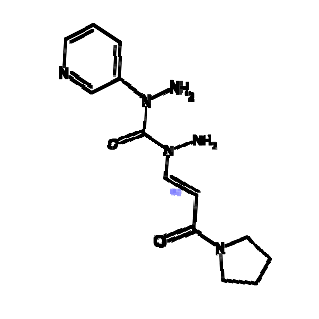 NN(/C=C/C(=O)N1CCCC1)C(=O)N(N)c1cccnc1